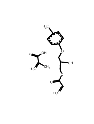 C=C(C)C(=O)O.C=CC(=O)OCC(O)COc1ccc(C)cc1